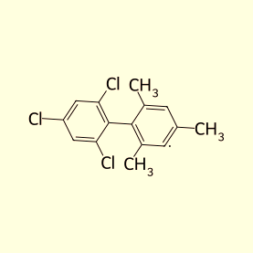 Cc1[c]c(C)c(-c2c(Cl)cc(Cl)cc2Cl)c(C)c1